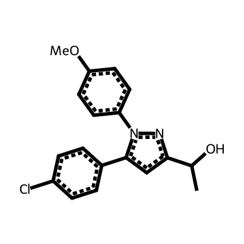 COc1ccc(-n2nc(C(C)O)cc2-c2ccc(Cl)cc2)cc1